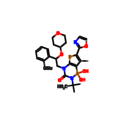 COc1ccccc1C(CN1C(=O)N(C(C)(C)C(=O)O)S(O)(O)c2c1sc(-c1ncco1)c2C)OC1CCOCC1